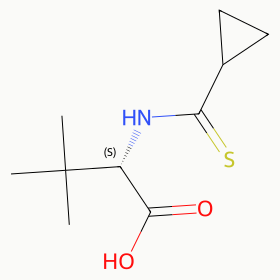 CC(C)(C)[C@H](NC(=S)C1CC1)C(=O)O